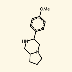 COc1ccc(C2CN3CCCC3CN2)cc1